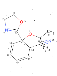 CC(C)OC1(C2=NCCO2)C=CC=CC1C#N